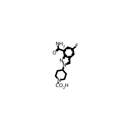 NC(=O)c1cc(F)cc2cn(C3CCN(C(=O)O)CC3)nc12